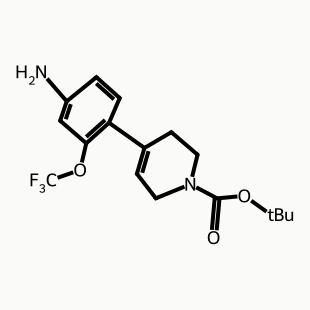 CC(C)(C)OC(=O)N1CC=C(c2ccc(N)cc2OC(F)(F)F)CC1